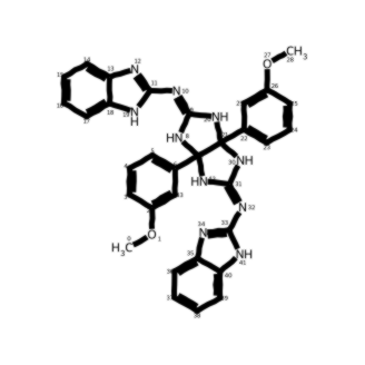 COc1cccc(C23NC(=Nc4nc5ccccc5[nH]4)NC2(c2cccc(OC)c2)NC(=Nc2nc4ccccc4[nH]2)N3)c1